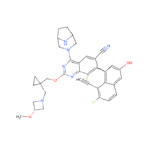 C#Cc1c(F)ccc2cc(O)cc(-c3c(C#N)cc4c(N5CC6CCC(C5)N6)nc(OCC5(CN6CC(OC)C6)CC5)nc4c3F)c12